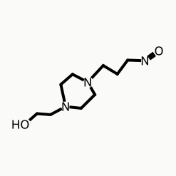 O=NCCCN1CCN(CCO)CC1